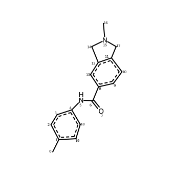 Cc1ccc(NC(=O)c2ccc3c(c2)CN(C)C3)cc1